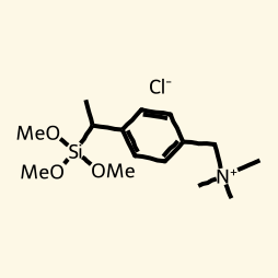 CO[Si](OC)(OC)C(C)c1ccc(C[N+](C)(C)C)cc1.[Cl-]